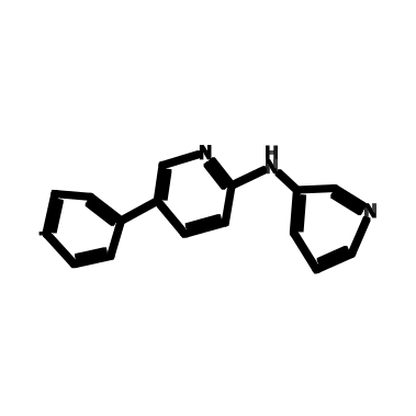 [c]1ccc(-c2ccc(Nc3cccnc3)nc2)cc1